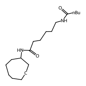 CCCCC(=O)NCCCCCC(=O)NC1CCCCCCC1